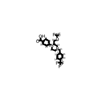 O=C(O)c1ccc(N2CCN(Cc3ccc(C(F)(F)F)cc3)CC2COC(F)F)cc1